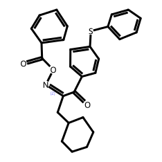 O=C(O/N=C(/CC1CCCCC1)C(=O)c1ccc(Sc2ccccc2)cc1)c1ccccc1